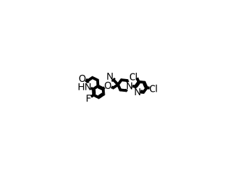 N#CC1(COc2ccc(F)c3c2CCC(=O)N3)CCN(c2ncc(Cl)cc2Cl)CC1